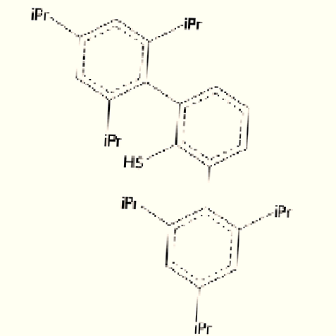 CC(C)c1cc(C(C)C)c(-c2cccc(-c3c(C(C)C)cc(C(C)C)cc3C(C)C)c2S)c(C(C)C)c1